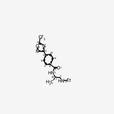 CCNC[C@@H](C)NC(=O)c1ccc(-c2noc(C(F)(F)F)n2)cc1